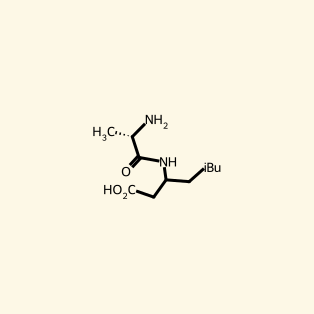 CCC(C)CC(CC(=O)O)NC(=O)[C@H](C)N